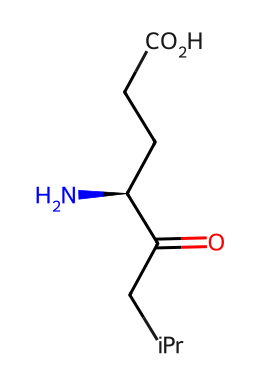 [CH2]C(C)CC(=O)[C@@H](N)CCC(=O)O